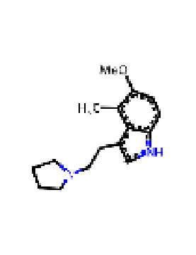 COc1ccc2[nH][c]c(CCN3CCCC3)c2c1C